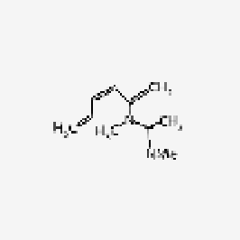 C=C/C=C\C(=C)N(C)C(C)NC